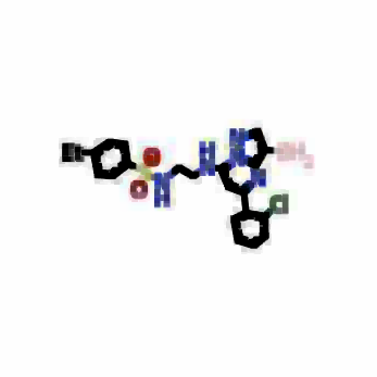 Bc1cnn2c(NCCNS(=O)(=O)c3ccc(CC)cc3)cc(-c3ccccc3Cl)nc12